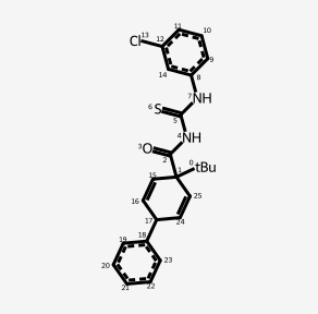 CC(C)(C)C1(C(=O)NC(=S)Nc2cccc(Cl)c2)C=CC(c2ccccc2)C=C1